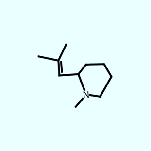 CC(C)=CC1CCCCN1C